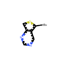 CC(C)(C)c1scc2ncncc12